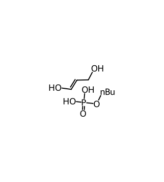 CCCCOP(=O)(O)O.OC=CCO